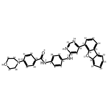 O=C(Nc1ccc(Nc2cc(-c3cccc4c3oc3ccccc34)ncn2)cc1)c1ccc(N2CCOCC2)cc1